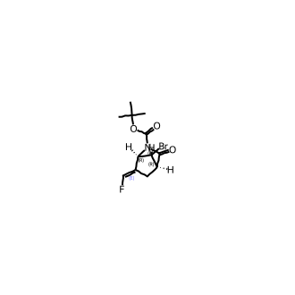 CC(C)(C)OC(=O)N1C(=O)[C@H]2C/C(=C\F)[C@@H]1[C@@H]2Br